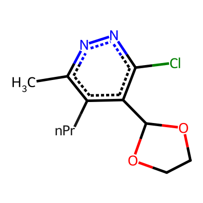 CCCc1c(C)nnc(Cl)c1C1OCCO1